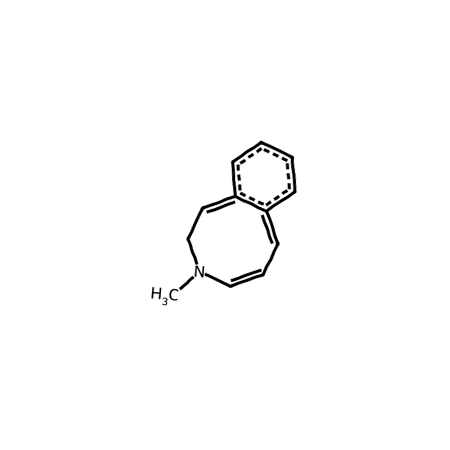 CN1C=CC=c2ccccc2=CC1